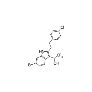 OC(c1c(CCc2ccc(Cl)cc2)[nH]c2cc(Br)ccc12)C(F)(F)F